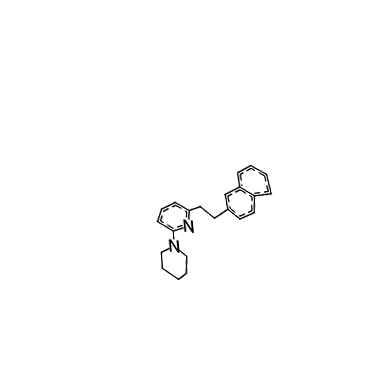 c1cc(CCc2ccc3ccccc3c2)nc(N2CCCCC2)c1